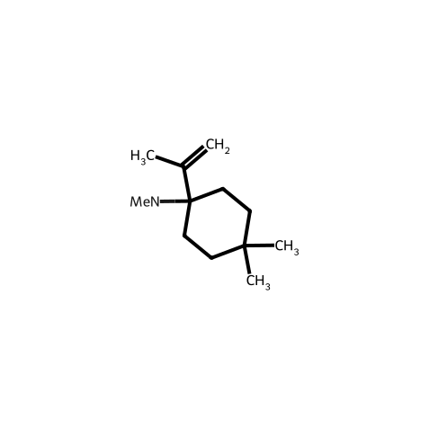 C=C(C)C1(NC)CCC(C)(C)CC1